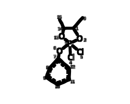 CC1OP(Cl)(Cl)(Oc2ccccc2)OC1C